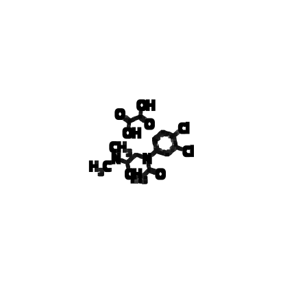 CCC(=O)N(CC(C)N(C)C)c1ccc(Cl)c(Cl)c1.O=C(O)C(=O)O